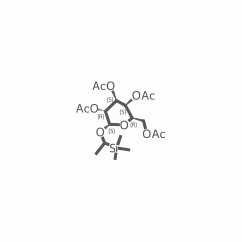 CC(=O)OC[C@H]1O[C@@H](OC(C)[Si](C)(C)C)[C@H](OC(C)=O)[C@@H](OC(C)=O)[C@H]1OC(C)=O